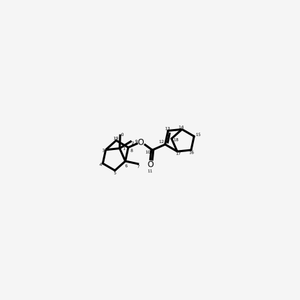 CC1(C)C2CCC1(C)C(OC(=O)C1=CC3CCC1C3)C2